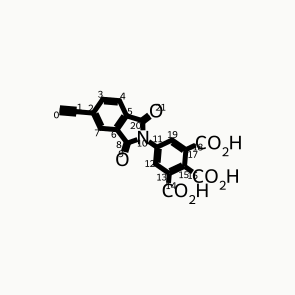 C#Cc1ccc2c(c1)C(=O)N(c1cc(C(=O)O)c(C(=O)O)c(C(=O)O)c1)C2=O